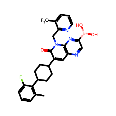 Cc1cccc(F)c1C1CCC(c2cc3ncc(B(O)O)nc3n(Cc3ncccc3C(F)(F)F)c2=O)CC1